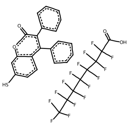 O=C(O)C(F)(F)C(F)(F)C(F)(F)C(F)(F)C(F)(F)C(F)(F)C(F)(F)F.O=c1oc2cc(S)ccc2c(-c2ccccc2)c1-c1ccccc1